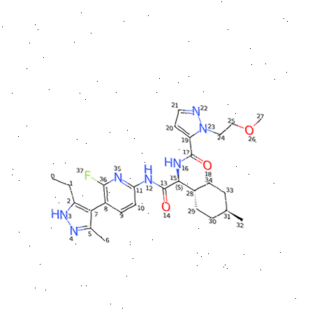 CCc1[nH]nc(C)c1-c1ccc(NC(=O)[C@@H](NC(=O)c2ccnn2CCOC)[C@H]2CC[C@H](C)CC2)nc1F